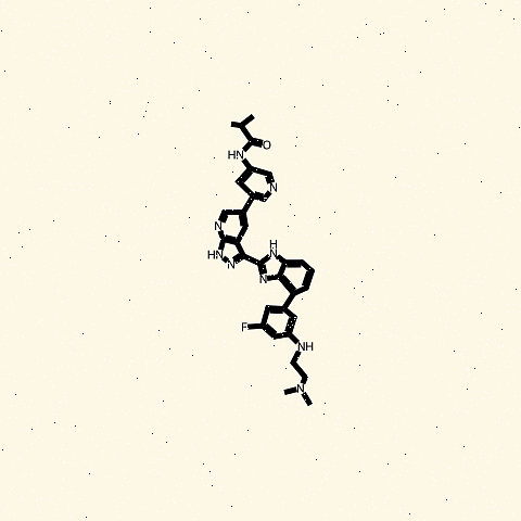 CC(C)C(=O)Nc1cncc(-c2cnc3[nH]nc(-c4nc5c(-c6cc(F)cc(NCCN(C)C)c6)cccc5[nH]4)c3c2)c1